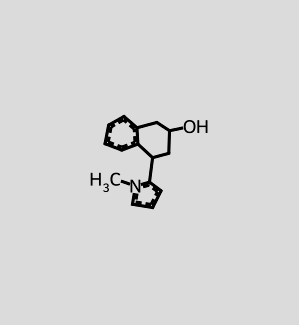 Cn1cccc1C1CC(O)Cc2ccccc21